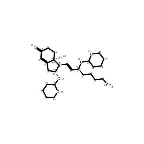 CCCCC[C@@H](C=C[C@@H]1[C@@H]2CCC(=O)C=C2C[C@H]1OC1CCCCO1)OC1CCCCO1